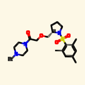 CCN1CCN(C(=O)COC[C@@H]2CCCN2S(=O)(=O)c2c(C)cc(C)cc2C)CC1